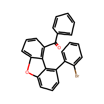 O=C(c1ccccc1)c1cccc2oc3cccc(-c4ccccc4Br)c3c12